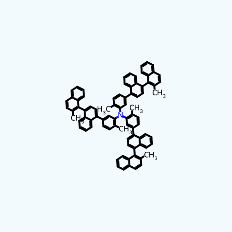 Cc1ccc(-c2ccc(-c3c(C)ccc4ccccc34)c3ccccc23)cc1N(c1cc(-c2ccc(-c3c(C)ccc4ccccc34)c3ccccc23)ccc1C)c1cc(-c2ccc(-c3c(C)ccc4ccccc34)c3ccccc23)ccc1C